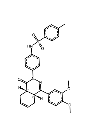 COc1ccc(C2=NN(c3ccc(NS(=O)(=O)c4ccc(C)cc4)cc3)C(=O)[C@H]3CC=CC[C@@H]23)cc1OC